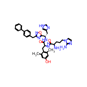 Cc1cc(O)cc(C)c1CC(NC(=O)C(N)CCCn1ccnc1N)C(=O)N[C@@H](Cc1c[nH]cn1)c1nc(Cc2ccc(-c3ccccc3)cc2)no1